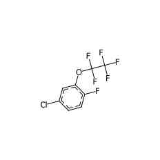 Fc1ccc(Cl)cc1OC(F)(F)C(F)(F)F